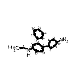 C=CNc1ccc(-c2ccc(N)cc2)cc1.c1ccccc1